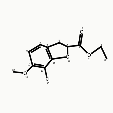 CCOC(=O)C1Cc2ccc(OC)c(Cl)c2O1